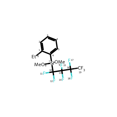 CCc1ccccc1[Si](OC)(OC)C(F)(F)C(F)(F)C(F)(F)C(F)(F)F